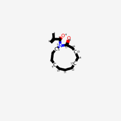 C=C(C)C(=O)N1CCCCCCCCCCCC1=O